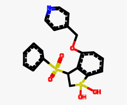 O=S(=O)(c1ccccc1)C1CS(O)(O)c2cccc(OCc3ccncc3)c21